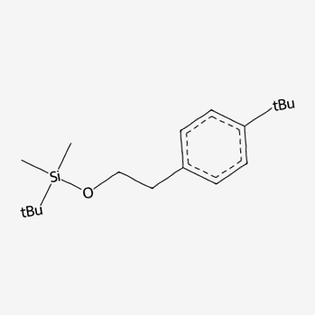 CC(C)(C)c1ccc(CCO[Si](C)(C)C(C)(C)C)cc1